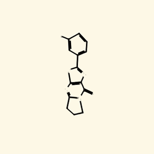 O=c1c2nc(-c3cccc(Cl)c3)oc2nc2n1CCC2